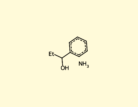 CCC(O)c1ccccc1.N